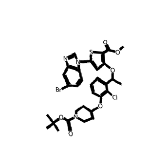 COC(=O)c1sc(-n2cnc3cc(Br)ccc32)cc1OC(C)c1cccc(OC2CCN(C(=O)OC(C)(C)C)CC2)c1Cl